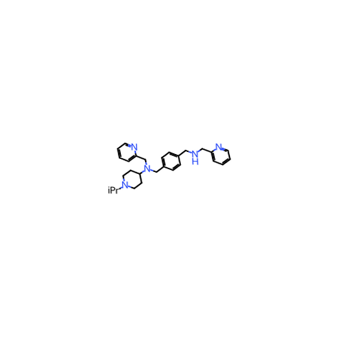 CC(C)N1CCC(N(Cc2ccc(CNCc3ccccn3)cc2)Cc2ccccn2)CC1